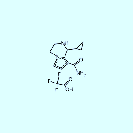 NC(=O)c1ccn2c1C(C1CC1)NCC2.O=C(O)C(F)(F)F